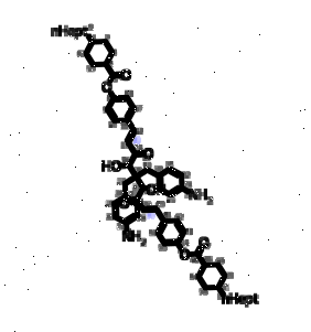 CCCCCCCC1CCC(C(=O)Oc2ccc(/C=C/C(=O)C(O)C(Cc3ccc(N)cc3)(Cc3ccc(N)cc3)C(O)C(=O)/C=C/c3ccc(OC(=O)C4CCC(CCCCCCC)CC4)cc3)cc2)CC1